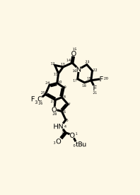 CC(C)(C)OC(=O)NCc1cc2cc(C3CC3C(=O)N3CCC(F)(F)CC3)cc(C(F)(F)F)c2o1